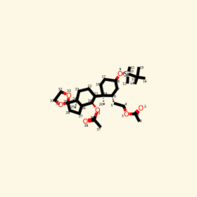 CC(=O)OCC[C@H]1CC(O[Si](C)(C)C(C)(C)C)CC[C@]1(C)C1CC[C@@]2(C)C(CCC23OCCO3)[C@@H]1OC(C)=O